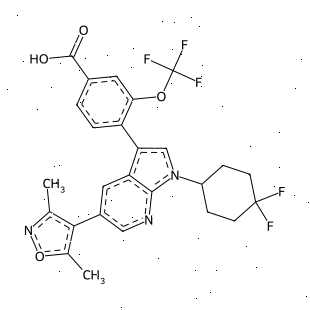 Cc1noc(C)c1-c1cnc2c(c1)c(-c1ccc(C(=O)O)cc1OC(F)(F)F)cn2C1CCC(F)(F)CC1